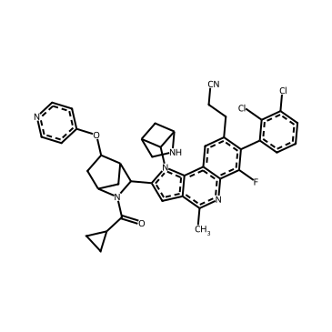 Cc1nc2c(F)c(-c3cccc(Cl)c3Cl)c(CCC#N)cc2c2c1cc(C1C3CC(CC3Oc3ccncc3)N1C(=O)C1CC1)n2C1C2CNC1C2